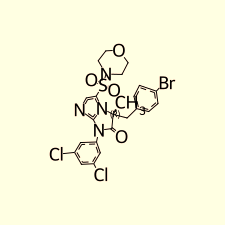 C[C@@]1(Cc2ccc(Br)cc2)C(=O)N(c2cc(Cl)cc(Cl)c2)c2ncc(S(=O)(=O)N3CCOCC3)n21